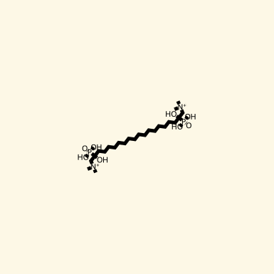 C[N+](C)(C)CC(O)(CCCCCCCCCCCCCCCCC(O)(C[N+](C)(C)C)P(=O)(O)O)P(=O)(O)O